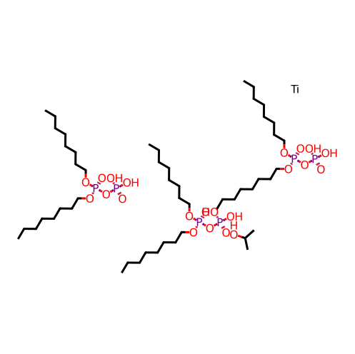 CC(C)O.CCCCCCCCOP(=O)(OCCCCCCCC)OP(=O)(O)O.CCCCCCCCOP(=O)(OCCCCCCCC)OP(=O)(O)O.CCCCCCCCOP(=O)(OCCCCCCCC)OP(=O)(O)O.[Ti]